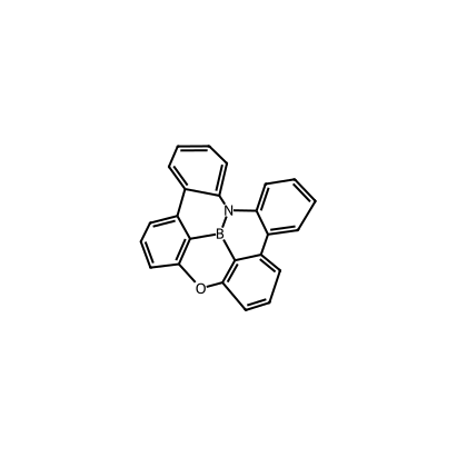 c1ccc2c(c1)-c1cccc3c1B1c4c(cccc4-c4ccccc4N12)O3